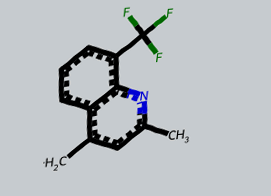 [CH2]c1cc(C)nc2c(C(F)(F)F)cccc12